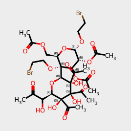 CC(=O)OC[C@H]1O[C@H](OCCBr)[C@H](OC(C)=O)[C@@H](OC(C)=O)[C@@]1(OCCBr)[C@@H]1O[C@H](C(O)C(C)=O)[C@@](O)(C(C)=O)[C@@](O)(C(C)=O)[C@]1(O)C(C)=O